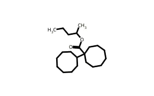 CCCC(C)OC(=O)C1(C2CCCCCCC2)CCCCCCC1